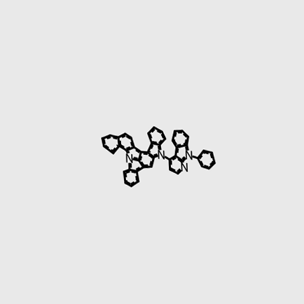 c1ccc(-n2c3ccccc3c3c(-n4c5ccccc5c5c6c7ccc8ccccc8c7n7c8ccccc8c(cc54)c67)ccnc32)cc1